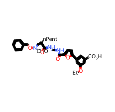 CCCCC[C@H](CN(C=O)OCc1ccccc1)C(=O)NCNC(=O)c1ccc(-c2cc(OCC)cc(C(=O)O)c2)o1